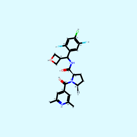 CC[C@@H]1CC[C@H](C(=O)NC(c2cc(F)c(Cl)cc2F)C2COC2)N1C(=O)c1cc(C)nc(C)c1